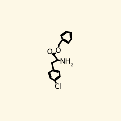 NC(Cc1ccc(Cl)cc1)C(=O)OCc1ccccc1